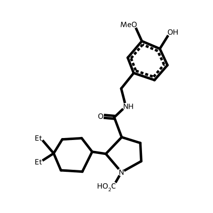 CCC1(CC)CCC(C2C(C(=O)NCc3ccc(O)c(OC)c3)CCN2C(=O)O)CC1